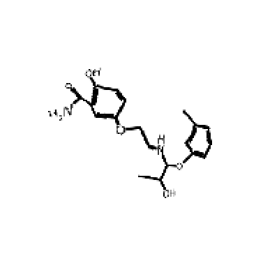 Cc1cccc(OC(NCCOc2ccc(O)c(C(N)=O)c2)C(C)O)c1